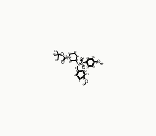 COc1ccc(CN(C2CCCN(C(=O)OC(C)(C)C)C2)S(=O)(=O)c2ccc(OC)cc2)cc1